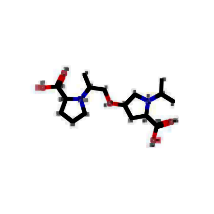 CC(C)N1CC(OCC(C)N2CCCC2C(=O)O)CC1C(=O)O